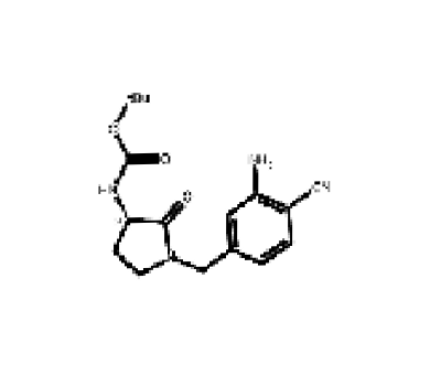 CC(C)(C)OC(=O)N[C@@H]1CCN(Cc2ccc(C#N)c(N)c2)C1=O